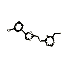 CCc1ncnc(SCc2ncc(-c3cccc(Cl)c3)o2)n1